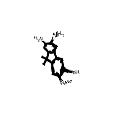 CNc1cc2c(cc1N)-c1cc(N)c(N)cc1C2(C)C